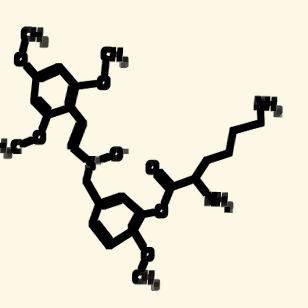 COc1cc(OC)c(/C=C/[S+]([O-])Cc2ccc(OC)c(OC(=O)C(N)CCCCN)c2)c(OC)c1